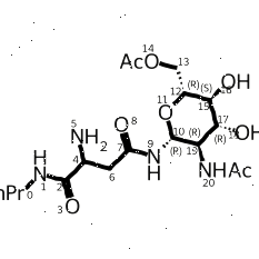 CCCNC(=O)C(N)CC(=O)N[C@@H]1O[C@H](COC(C)=O)[C@@H](O)[C@H](O)[C@H]1NC(C)=O